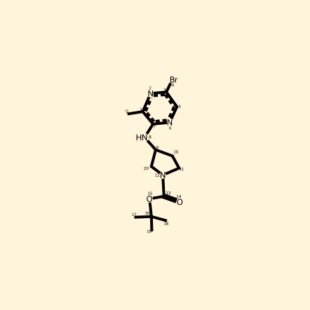 Cc1nc(Br)cnc1NC1CCN(C(=O)OC(C)(C)C)C1